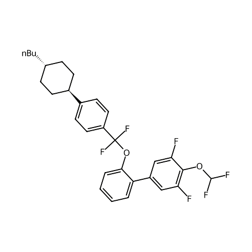 CCCC[C@H]1CC[C@H](c2ccc(C(F)(F)Oc3ccccc3-c3cc(F)c(OC(F)F)c(F)c3)cc2)CC1